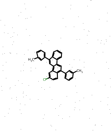 Cc1cccc(-c2cc3c4cc(Cl)ccc4c(-c4cccc(C)c4)cc3c3ccccc23)c1